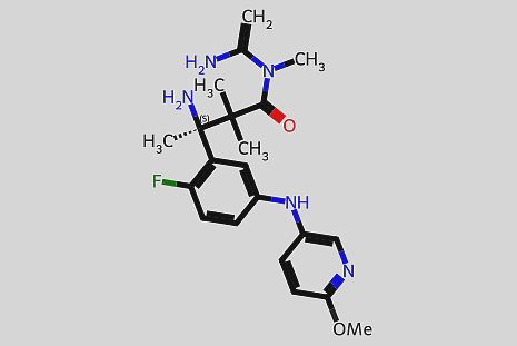 C=C(N)N(C)C(=O)C(C)(C)[C@](C)(N)c1cc(Nc2ccc(OC)nc2)ccc1F